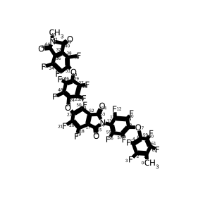 Cc1c(F)c(F)c(Oc2c(F)c(F)c(N3C(=O)c4c(F)c(F)c(Oc5c(F)c(F)c(Oc6c(F)c(F)c7c(c6F)C(=O)N(C)C7=O)c(F)c5F)c(F)c4C3=O)c(F)c2F)c(F)c1F